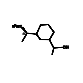 CCCCC[C@H](C)C1CCCC(C(C)O)C1